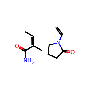 C=CN1CCCC1=O.CC=C(C)C(N)=O